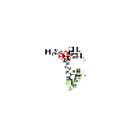 CCO[Si](CCCCCc1cc(C(F)(F)F)cc(C(F)(F)F)c1)(OCC)OCC